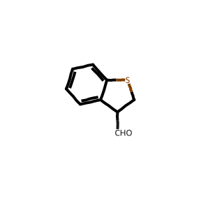 O=CC1CSc2ccccc21